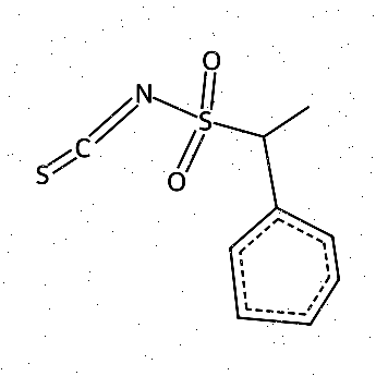 CC(c1ccccc1)S(=O)(=O)N=C=S